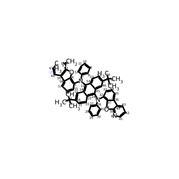 C=Nc1oc2c(N(c3ccccc3)c3c4cc(C(C)(C)C)ccc4c(N(c4ccccc4)c4cccc5c4oc4ncccc45)c4cc(C(C)(C)C)ccc34)cccc2c1/C=C\C